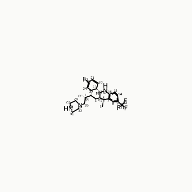 C[C@H](CC[C@@H]1[C@H](C)c2cc(C(F)(F)F)ccc2N[C@H]1C1C=CC(F)=CC1)CN1CCNCC1